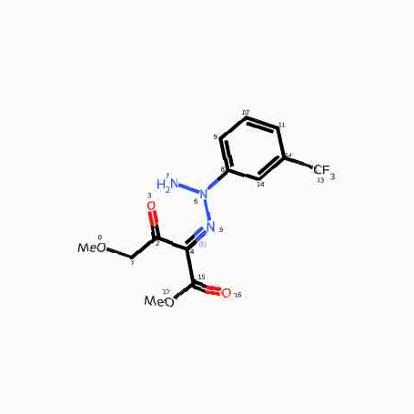 COCC(=O)/C(=N\N(N)c1cccc(C(F)(F)F)c1)C(=O)OC